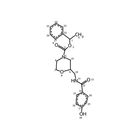 CC(OC(=O)N1CCOC(CNC(=O)c2ccc(O)cc2)C1)c1ccccc1